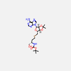 CC(C)(C)OC(=O)N[C@H](CO)CCSC[C@H]1O[C@@H](n2cnc3c(N)ncnc32)[C@@H]2OC(C)(C)O[C@@H]21